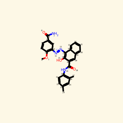 COc1ccc(C(N)=O)cc1/N=N/c1c(O)c(C(=O)Nc2ccc(C)cc2C)cc2ccccc12